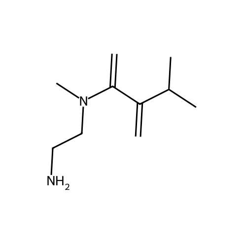 C=C(C(=C)N(C)CCN)C(C)C